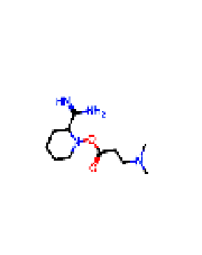 CN(C)CCC(=O)ON1CCCCC1C(=N)N